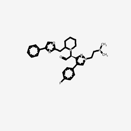 CN(C)CCn1cc(-c2ccc(F)cc2)c([C@@H](C=O)N2CCCCC2Cc2nc(-c3ccccc3)co2)n1